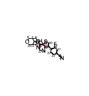 CC(F)(F)CN1CC2COCC(C1)C2Oc1ncnc2c(-c3ccc(C#N)cc3F)csc12